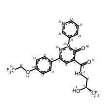 O=C(NC[C@H](O)C(F)(F)F)c1cc(-c2ccc(OCC(F)(F)F)cc2)nn(-c2cccnc2)c1=O